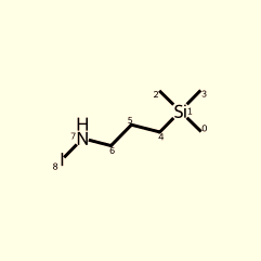 C[Si](C)(C)CCCNI